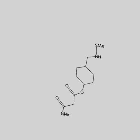 CNC(=O)CC(=O)OC1CCC(CNSC)CC1